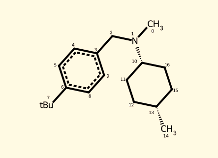 CN(Cc1ccc(C(C)(C)C)cc1)[C@H]1CC[C@@H](C)CC1